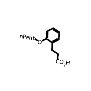 CCCCCOc1ccccc1CCC(=O)O